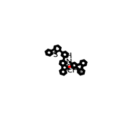 CC1(C)c2ccccc2-c2ccc(-c3cccc(C4C=CC=C5c6ccccc6SC54)c3)c(Nc3ccc4c5ccccc5c5ccccc5c4c3)c21